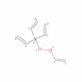 C=COO[Si](C=C)(C=C)C=C